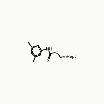 CCCCCCCCOC(=S)Nc1cc(C)cc(C)c1